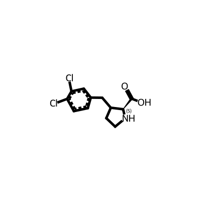 O=C(O)[C@H]1NCCC1Cc1ccc(Cl)c(Cl)c1